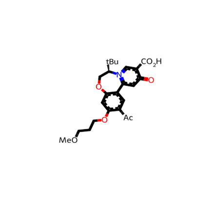 COCCCOc1cc2c(cc1C(C)=O)-c1cc(=O)c(C(=O)O)cn1[C@H](C(C)(C)C)CO2